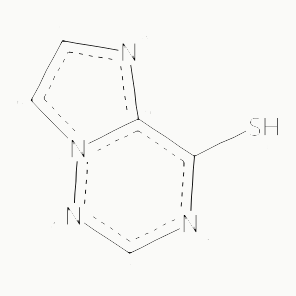 Sc1ncnn2ccnc12